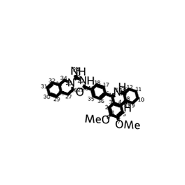 COc1cc2c(cc1OC)[C@H]1CCCC[C@H]1N=C2c1ccc(C(=O)NC(=N)N2CCC3C=CC=CC3C2)cc1